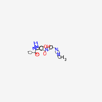 CN1CCN(Cc2ccc3c(c2)CN(C(=O)c2cc4c(C(=O)C5CCCC5)n[nH]c4cc2O)C3)CC1